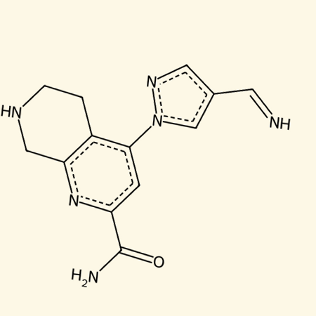 N=Cc1cnn(-c2cc(C(N)=O)nc3c2CCNC3)c1